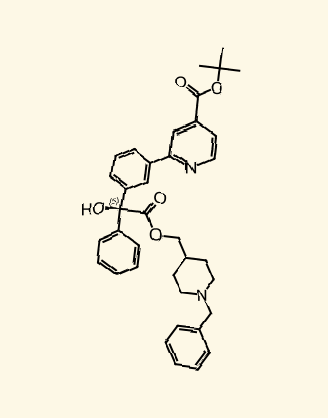 CC(C)(C)OC(=O)c1ccnc(-c2cccc([C@](O)(C(=O)OCC3CCN(Cc4ccccc4)CC3)c3ccccc3)c2)c1